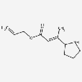 C=CCOC(=O)C=C(C)C1CCCN1